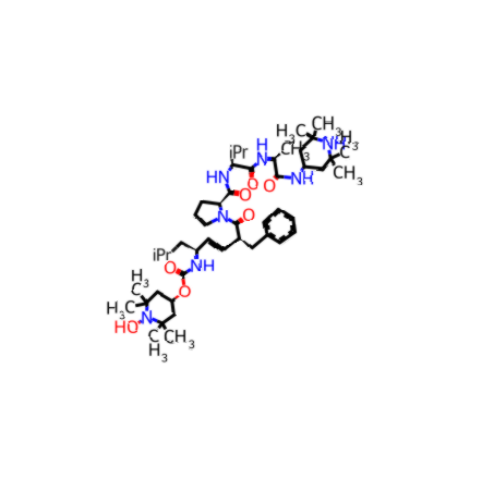 CC(C)C[C@@H](/C=C/[C@H](Cc1ccccc1)C(=O)N1CCC[C@H]1C(=O)N[C@H](C(=O)N[C@@H](C)C(=O)NC1CC(C)(C)NC(C)(C)C1)C(C)C)NC(=O)OC1CC(C)(C)N(O)C(C)(C)C1